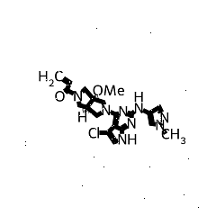 C=CC(=O)N1C[C@@H]2CN(c3nc(Nc4cnn(C)c4)nc4[nH]cc(Cl)c34)C[C@]2(OC)C1